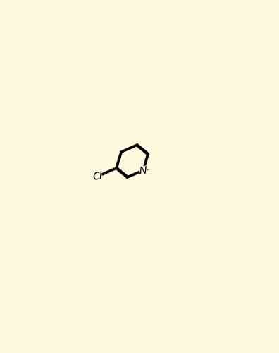 ClC1CCC[N]C1